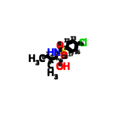 CC[C@@H](C)[C@@H](CO)NS(=O)(=O)c1ccc(Cl)cc1